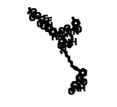 Cc1ccc2onc(C(=O)N3CC[C@H]4CC[C@@H](C(=O)N(C)CCCCCCC#Cc5cccc6c5CN(C5CCC(=O)NC5=O)C6=O)N4C(=O)[C@@H](NC(=O)c4ccc5ccc(C(F)(F)P(=O)(O)OCOC(=O)OC(C)C)cc5c4)C3)c2c1